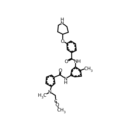 COCCN(C)c1cccc(C(=O)Nc2ccc(C)c(NC(=O)c3cccc(OC4CCNCC4)c3)c2)c1